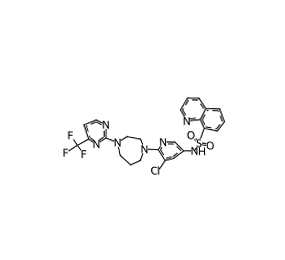 O=S(=O)(Nc1cnc(N2CCCN(c3nccc(C(F)(F)F)n3)CC2)c(Cl)c1)c1cccc2cccnc12